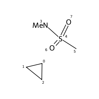 C1CC1.CNS(C)(=O)=O